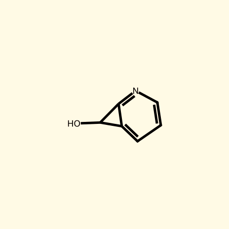 OC1c2cccnc21